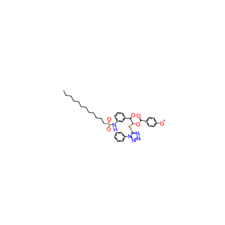 CCCCCCCCCCCCS(=O)(=O)Nc1cccc(C(=O)C(OC(=O)c2ccc(OC)cc2)Sc2nnnn2-c2ccccc2)c1